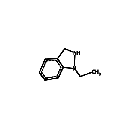 CCN1NCc2ccccc21